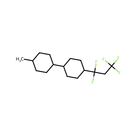 CC1CCC(C2CCC(C(F)(F)CC(F)(F)F)CC2)CC1